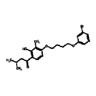 Cc1c(OCCCCOc2cncc(Br)c2)ccc(C(=O)CC(C)C)c1O